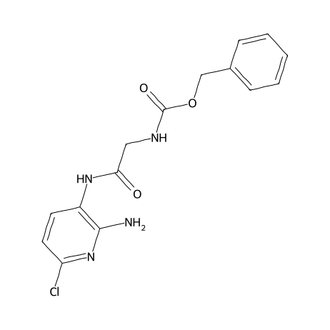 Nc1nc(Cl)ccc1NC(=O)CNC(=O)OCc1ccccc1